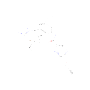 C#CCOc1cnc(C(=O)Nc2cc(C)c(F)c([C@]3(C)N=C(N)S[C@@]4(C(F)F)C[C@@H]34)c2)cn1